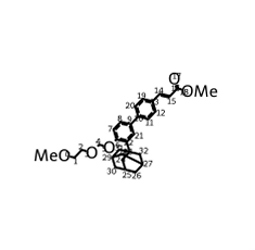 COCCOCOc1ccc(-c2ccc(C=CC(=O)OC)cc2)cc1C12CC3CC(CC(C3)C1)C2